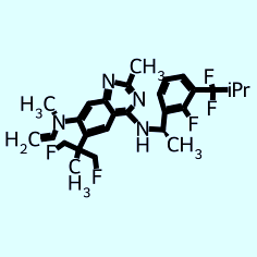 C=CN(C)c1cc2nc(C)nc(N[C@H](C)c3cccc(C(F)(F)C(C)C)c3F)c2cc1C(C)(CF)CF